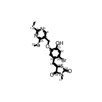 CSc1ncc(COc2cc(/C=C3\SC(=O)N(C)C3=O)c(Br)cc2O)c(SC)n1